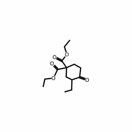 CCOC(=O)C1(C(=O)OCC)CCC(=O)C(CC)C1